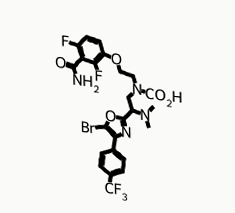 CN(C)C(CN(CCOc1ccc(F)c(C(N)=O)c1F)C(=O)O)c1nc(-c2ccc(C(F)(F)F)cc2)c(Br)o1